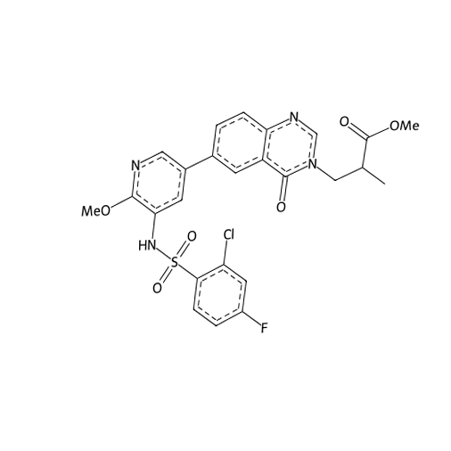 COC(=O)C(C)Cn1cnc2ccc(-c3cnc(OC)c(NS(=O)(=O)c4ccc(F)cc4Cl)c3)cc2c1=O